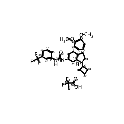 COc1ccc([C@@]23CC[C@@H](NC(=O)Nc4cccc(C(F)(F)F)c4)C[C@@H]2N(C2CCC2)CC3)cc1OC.O=C(O)C(F)(F)F